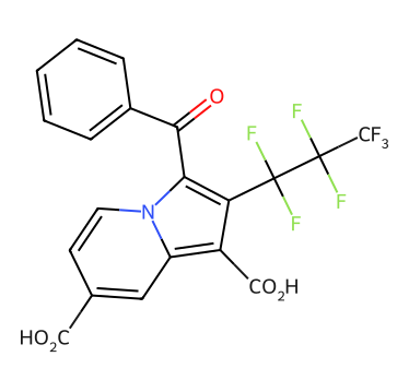 O=C(O)c1ccn2c(C(=O)c3ccccc3)c(C(F)(F)C(F)(F)C(F)(F)F)c(C(=O)O)c2c1